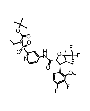 CCN(C(=O)OC(C)(C)C)S(=O)(=O)c1cc(NC(=O)[C@@H]2O[C@@](C)(C(F)(F)F)[C@@H](C)[C@H]2c2ccc(F)c(F)c2OC)ccn1